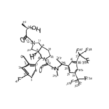 Cc1cc(F)ccc1C1[C@@H]2CN(C(=O)[C@@H](C)O)CC2CCN1C(=O)N(C)C(C)c1cc(C(F)(F)F)cc(C(F)(F)F)c1